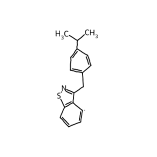 CC(C)c1ccc(Cc2nsc3ccc[c]c23)cc1